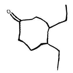 CCC1CCC(=O)CC1CC